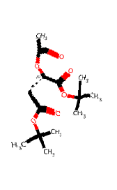 CC(=O)O[C@@H](CC(=O)OC(C)(C)C)C(=O)OC(C)(C)C